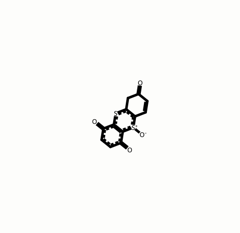 O=C1C=Cc2c(sc3c(=O)ccc(=O)c=3[s+]2[O-])C1